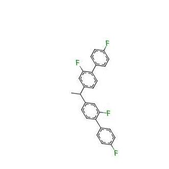 CC(c1ccc(-c2ccc(F)cc2)c(F)c1)c1ccc(-c2ccc(F)cc2)c(F)c1